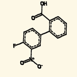 O=C(O)c1ccccc1-c1ccc(F)c([N+](=O)[O-])c1